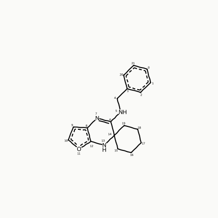 c1ccc(CNC2=Nc3ccoc3NC23CCCCC3)cc1